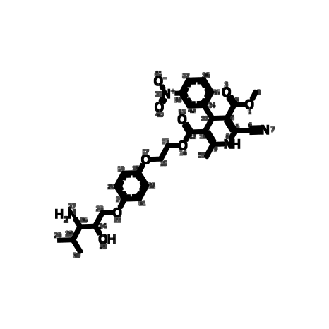 COC(=O)C1=C(C#N)NC(C)=C(C(=O)OCCOc2ccc(OCC(O)C(N)C(C)C)cc2)C1c1cccc([N+](=O)[O-])c1